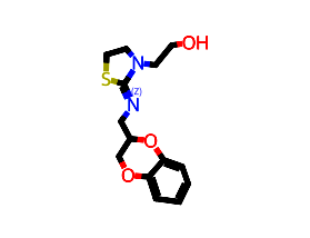 OCCN1CCS/C1=N\CC1COc2ccccc2O1